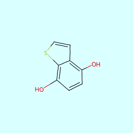 Oc1ccc(O)c2sccc12